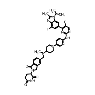 Cc1nc2c(F)cc(-c3nc(Nc4ccc(N5CCC(N(C)Cc6ccc7c(c6)CN(C6CCC(=O)NC6=O)C7=O)CC5)cn4)ncc3F)cc2n1C(C)C